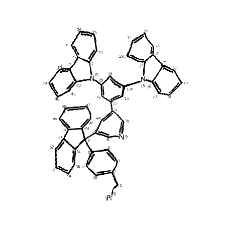 CC(C)Cc1ccc(C2(c3cncc(-c4cc(-n5c6ccccc6c6ccccc65)cc(-n5c6ccccc6c6ccccc65)c4)c3)c3ccccc3-c3ccccc32)cc1